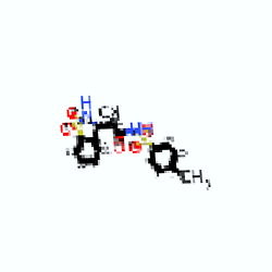 Cc1ccc(S(=O)(=O)NC(=O)C(C#N)=C2NS(=O)(=O)c3ccccc32)cc1